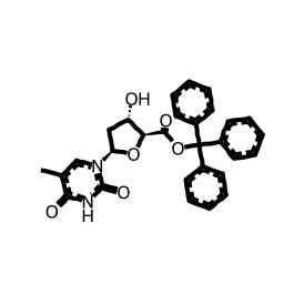 Cc1cn([C@H]2C[C@H](O)[C@@H](C(=O)OC(c3ccccc3)(c3ccccc3)c3ccccc3)O2)c(=O)[nH]c1=O